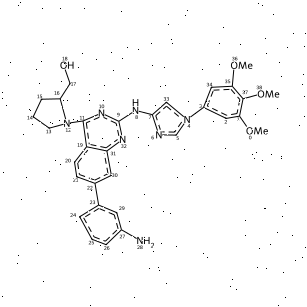 COc1cc(-n2cnc(Nc3nc(N4CCCC4CO)c4ccc(-c5cccc(N)c5)cc4n3)c2)cc(OC)c1OC